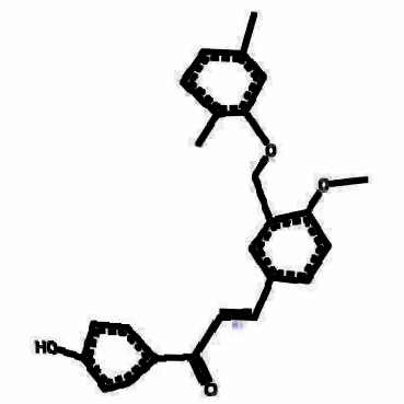 COc1ccc(/C=C/C(=O)c2ccc(O)cc2)cc1COc1cc(C)ccc1C